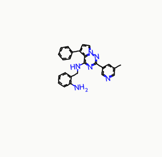 Cc1cncc(-c2nc(NCc3ccccc3N)c3c(-c4ccccc4)ccn3n2)c1